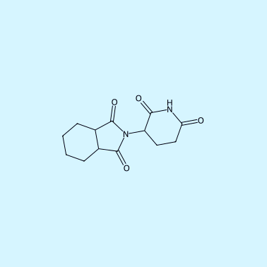 O=C1CCC(N2C(=O)C3CCCCC3C2=O)C(=O)N1